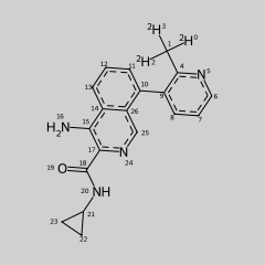 [2H]C([2H])([2H])c1ncccc1-c1cccc2c(N)c(C(=O)NC3CC3)ncc12